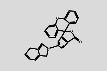 O=C1OC2(c3ccccc3Oc3ccccc32)c2cc(N3C=C4CC=CC=C4C3)ccc21